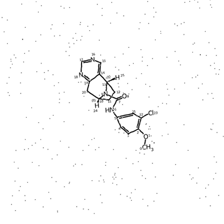 COc1ccc(NC(=O)N2[C@@H]3CC[C@H]2c2cncnc2C3)cc1Cl